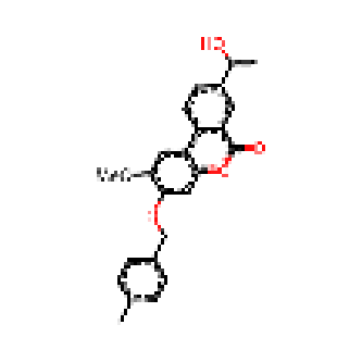 COc1cc2c(cc1OCc1ccc(C)cc1)oc(=O)c1cc(C(C)O)ccc12